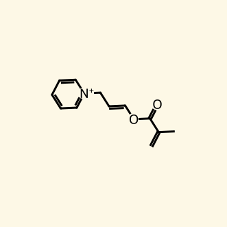 C=C(C)C(=O)OC=CC[n+]1ccccc1